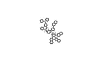 c1ccc(N(c2ccccc2)c2ccc3c(c2)c2ccccc2c2nc4ccc5c(c6cc(-c7ccc8ccccc8c7)ccc6n5-c5nc(-c6ccc7ccccc7c6)c(-c6ccc7ccccc7c6)c(-c6ccc7ccccc7c6)n5)c4nc32)cc1